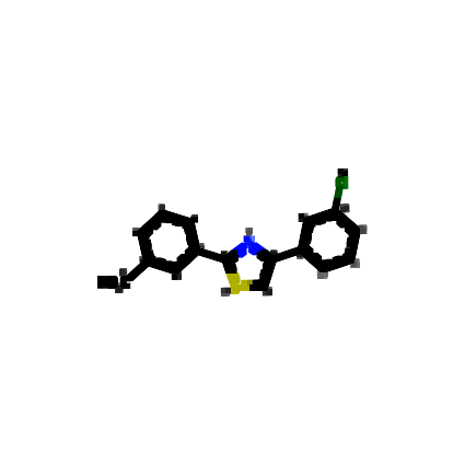 O=C(O)c1cccc(-c2nc(-c3cccc(Cl)c3)cs2)c1